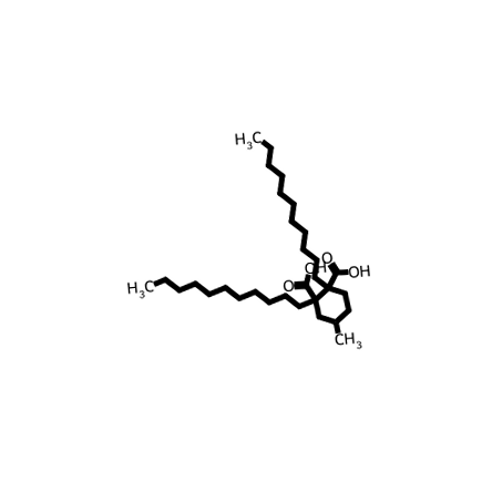 CCCCCCCCCCCC1(C(=O)O)CCC(C)CC1(CCCCCCCCCCC)C(=O)O